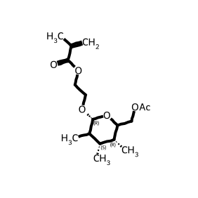 C=C(C)C(=O)OCCO[C@@H]1OC(COC(C)=O)[C@H](C)[C@H](C)C1C